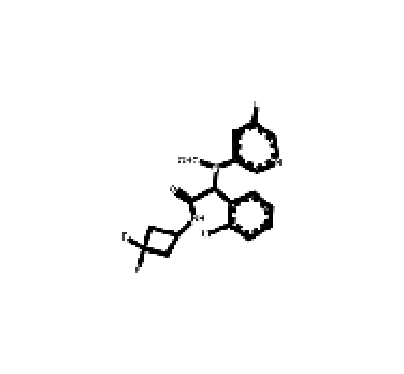 O=CN(c1cncc(F)c1)C(C(=O)NC1CC(F)(F)C1)c1ccccc1Cl